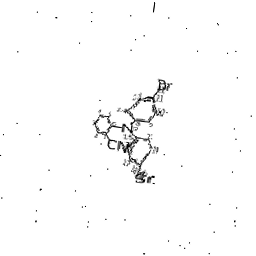 N#Cc1ccccc1N(c1ccc(Br)cc1)c1ccc(Br)cc1